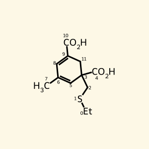 CCSCC1(C(=O)O)C=C(C)C=C(C(=O)O)C1